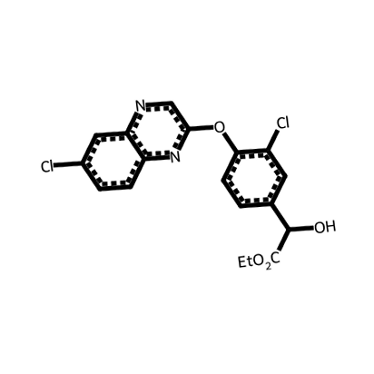 CCOC(=O)C(O)c1ccc(Oc2cnc3cc(Cl)ccc3n2)c(Cl)c1